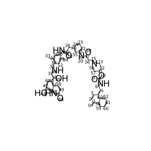 C=C(/C=C\C=C/CNC(=O)OC1CCN(CCC(=O)N(C)c2cccc(CC(=O)Nc3cc(C)c(CNC[C@H](O)c4ccc(O)c5[nH]c(=O)ccc45)cc3C)c2)CC1)c1ccccc1